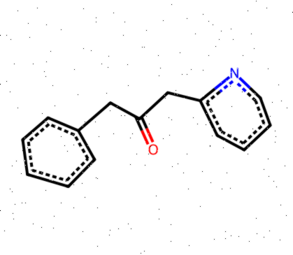 O=C(Cc1ccccc1)Cc1ccccn1